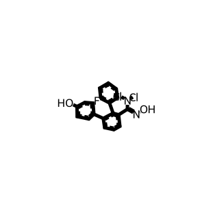 ON=C(c1cccc(-c2ccc(O)cc2)c1-c1ccccc1F)N(Cl)Cl